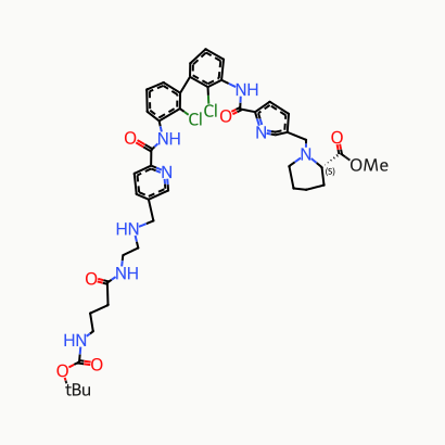 COC(=O)[C@@H]1CCCCN1Cc1ccc(C(=O)Nc2cccc(-c3cccc(NC(=O)c4ccc(CNCCNC(=O)CCCNC(=O)OC(C)(C)C)cn4)c3Cl)c2Cl)nc1